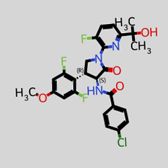 COc1cc(F)c([C@@H]2CN(c3nc(C(C)(C)O)ccc3F)C(=O)[C@H]2NC(=O)c2ccc(Cl)cc2)c(F)c1